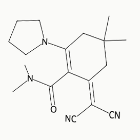 CN(C)C(=O)C1=C(N2CCCC2)CC(C)(C)CC1=C(C#N)C#N